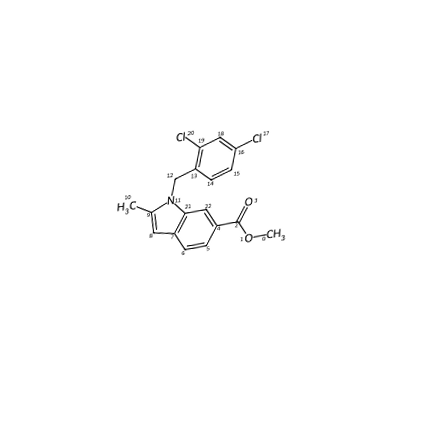 COC(=O)c1ccc2cc(C)n(Cc3ccc(Cl)cc3Cl)c2c1